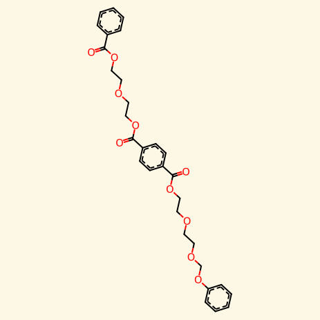 O=C(OCCOCCOCOc1ccccc1)c1ccc(C(=O)OCCOCCOC(=O)c2ccccc2)cc1